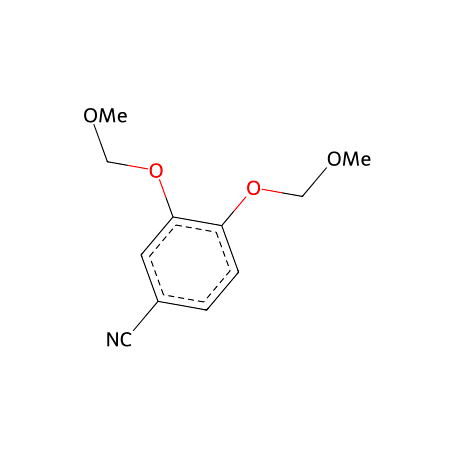 COCOc1ccc(C#N)cc1OCOC